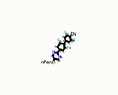 CCCCCc1cnc(-c2cc(F)c(-c3cc(F)c(C#N)c(F)c3)c(F)c2)nc1